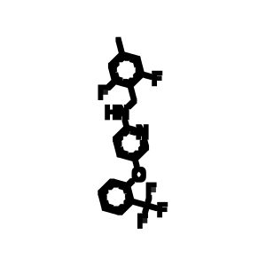 Cc1cc(F)c(CNc2ccc(Oc3ccccc3C(F)(F)F)cn2)c(F)c1